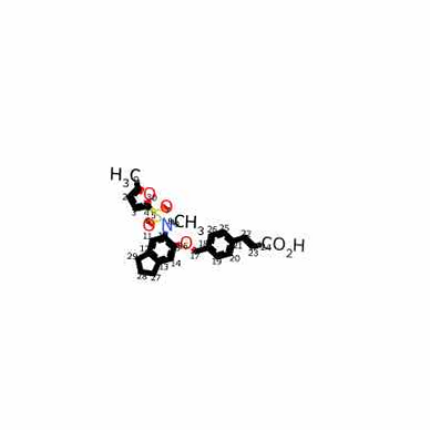 Cc1ccc(S(=O)(=O)N(C)c2cc3c(cc2OCc2ccc(C=CC(=O)O)cc2)CCC3)o1